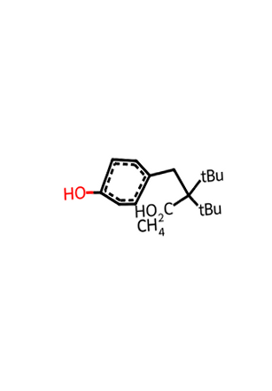 C.CC(C)(C)C(Cc1ccc(O)cc1)(C(=O)O)C(C)(C)C